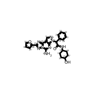 Nc1nc2c(cnn2C(C(=O)NC2CCC(O)CC2)c2ccccc2)c2nc(-c3ccco3)nn12